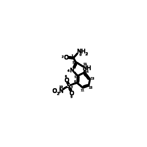 NC(=O)c1nc2c(S(=O)(=O)[N+](=O)[O-])cccc2[nH]1